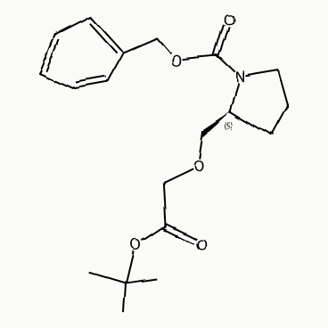 CC(C)(C)OC(=O)COC[C@@H]1CCCN1C(=O)OCc1ccccc1